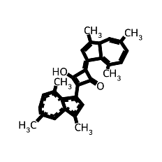 CC1=CC2C(C)=C/C(=C3/C(=O)C(c4cc(C)c5cc(C)ccc(C)c4-5)=C3O)C2=C(C)C=C1